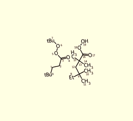 CC(C)(C)CCC(=O)OOC(C)(C)C.CCC(C)(C)CC(C)(C)C(=O)OO